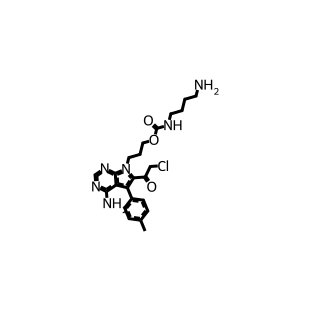 Cc1ccc(-c2c(C(=O)CCl)n(CCCOC(=O)NCCCCN)c3ncnc(N)c23)cc1